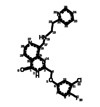 O=c1[nH]c(COc2ccc(F)c(Cl)c2)nc2c(CNCCc3ccccn3)nccc12